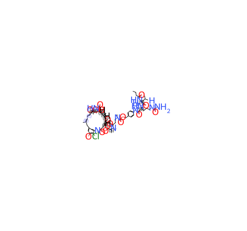 CCCC(=O)N[C@H](C(=O)N[C@@H](CCCNC(N)=O)C(=O)Nc1ccc(COC(=O)N(C)CCC(=O)N(C)[C@@H](C)C(=O)O[C@@H]2CC(=O)N(C)c3cc(cc(OC)c3Cl)C/C(C)=C/C=C/[C@@H](OC)[C@@]3(O)C[C@H](OC(=O)N3)[C@@H](C)[C@@H]3O[C@H]32)cc1)C(C)C